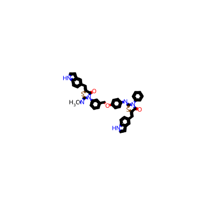 C/N=C1\S/C(=C\c2ccc3[nH]ccc3c2)C(=O)N1c1cccc(COc2ccc(/N=C3\S/C(=C\c4ccc5[nH]ccc5c4)C(=O)N3c3ccccc3)cc2)c1